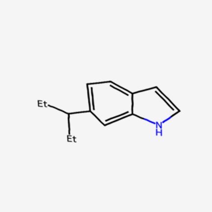 CCC(CC)c1ccc2cc[nH]c2c1